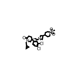 CS(=O)(=O)N1CCC(C2CN(CC[C@]3(c4ccc(Cl)c(Cl)c4)CCC(=O)N(CC4CC4)C3)C2)CC1